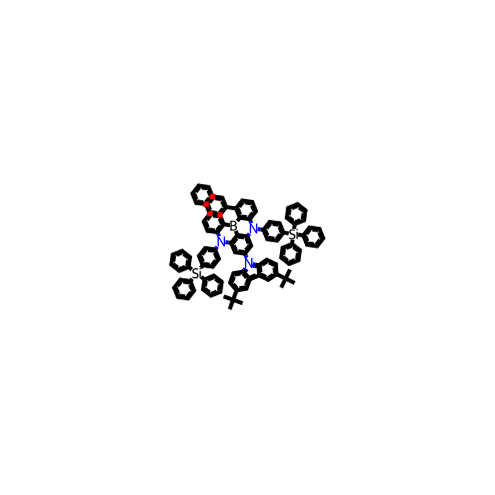 CC(C)(C)c1ccc2c(c1)c1cc(C(C)(C)C)ccc1n2-c1cc2c3c(c1)N(c1ccc([Si](c4ccccc4)(c4ccccc4)c4ccccc4)cc1)c1cccc(-c4ccccc4)c1B3c1cc(-c3ccccc3)ccc1N2c1ccc([Si](c2ccccc2)(c2ccccc2)c2ccccc2)cc1